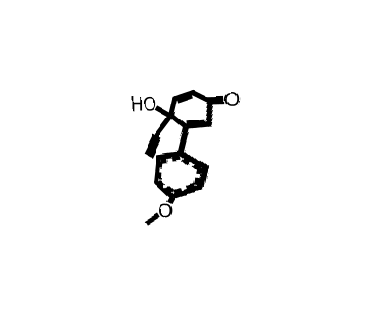 C#CC1(O)C=CC(=O)C=C1c1ccc(OC)cc1